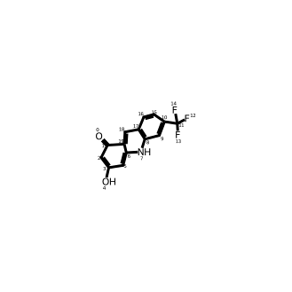 O=c1cc(O)cc2[nH]c3cc(C(F)(F)F)ccc3cc1-2